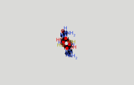 Nc1nc2c(ncn2[C@@H]2O[C@@H]3CO[P@@](=O)(S)N[C@H]4[C@@H](O)[C@H](n5cnc6c(N)ncnc65)O[C@@H]4CO[P@@](=O)(S)N[C@H]3[C@H]2O)c(=O)[nH]1